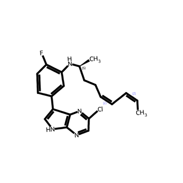 C/C=C\C=C/CC[C@H](C)Nc1cc(-c2c[nH]c3ncc(Cl)nc23)ccc1F